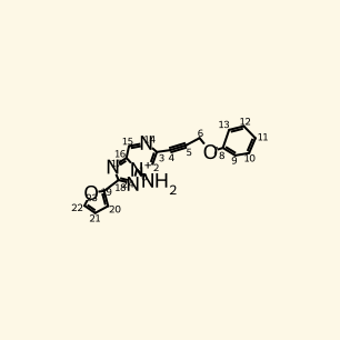 N[N+]12C=C(C#CCOc3ccccc3)N=CC1=NC(c1ccco1)=N2